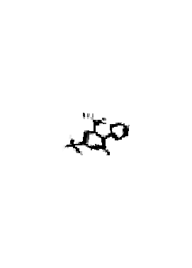 CC1=CC(C(F)(F)F)=CC(C(=O)O)C1c1ccccc1